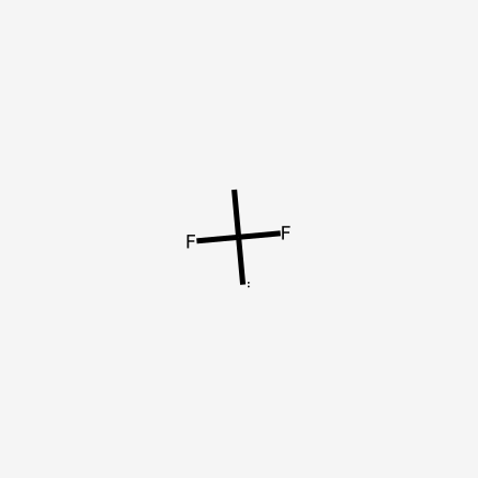 [CH]C(C)(F)F